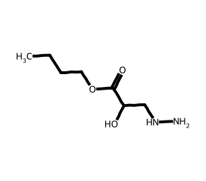 CCCCOC(=O)C(O)CNN